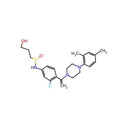 C=C(c1ccc(N[S+]([O-])CCCO)cc1F)N1CCN(c2ccc(C)cc2C)CC1